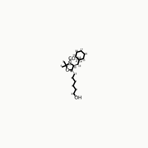 CC1(C)O[C@@H](CCCCCCO)[C@H](CC2CCCCC2)N1C(=O)O